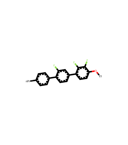 CCCc1ccc(-c2ccc(-c3ccc(OCC)c(F)c3F)cc2F)cc1